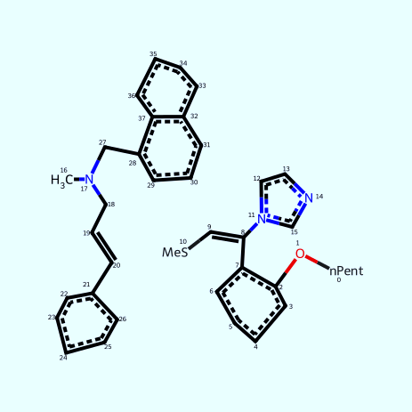 CCCCCOc1ccccc1/C(=C\SC)n1ccnc1.CN(C/C=C/c1ccccc1)Cc1cccc2ccccc12